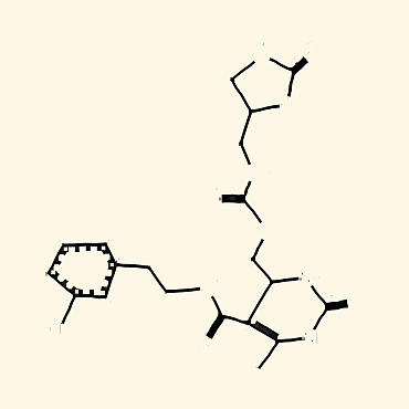 CC1=C(C(=O)OCCc2cccc(Cl)c2)C(COC(=O)OCC2COC(=O)O2)NC(=S)N1